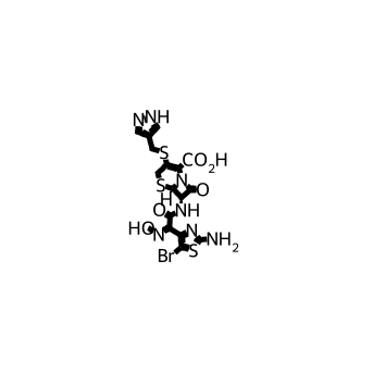 Nc1nc(/C(=N/O)C(=O)N[C@@H]2C(=O)N3C(C(=O)O)=C(SCc4cn[nH]c4)CS[C@H]23)c(Br)s1